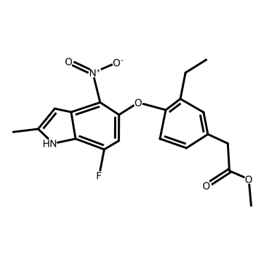 CCc1cc(CC(=O)OC)ccc1Oc1cc(F)c2[nH]c(C)cc2c1[N+](=O)[O-]